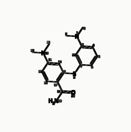 CN(C)c1cccc(Sc2cc(N(C)C)ccc2C(N)=O)c1